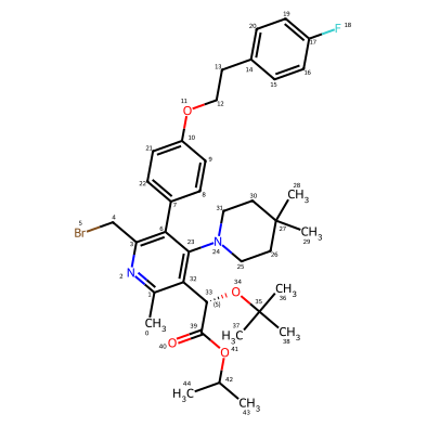 Cc1nc(CBr)c(-c2ccc(OCCc3ccc(F)cc3)cc2)c(N2CCC(C)(C)CC2)c1[C@H](OC(C)(C)C)C(=O)OC(C)C